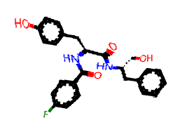 O=C(N[C@@H](Cc1ccc(O)cc1)C(=O)N[C@H](CO)Cc1ccccc1)c1ccc(F)cc1